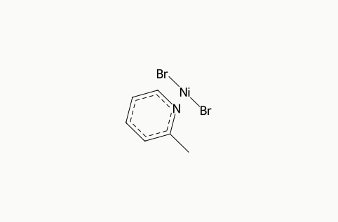 Cc1ccccn1.[Br][Ni][Br]